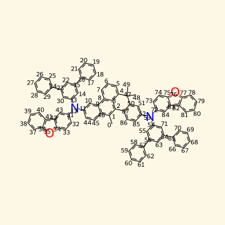 Cc1c2c3c(cccc3c3cc(N(c4cc(-c5ccccc5)cc(-c5ccccc5)c4)c4ccc5oc6ccccc6c5c4)ccc13)C(C)(C)c1cc(N(c3cc(-c4ccccc4)cc(-c4ccccc4)c3)c3ccc4oc5ccccc5c4c3)ccc1-2